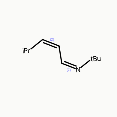 CC(C)/C=C\C=N/C(C)(C)C